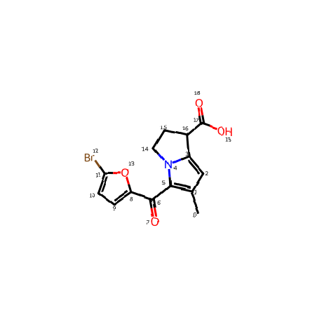 Cc1cc2n(c1C(=O)c1ccc(Br)o1)CCC2C(=O)O